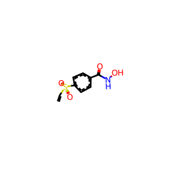 C=CS(=O)(=O)c1ccc(C(=O)NO)cc1